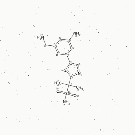 CC(C)(c1ncc(-c2cc(N)cc(CN)c2)s1)S(N)(=O)=O